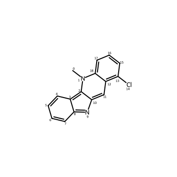 Cn1c2c3ccccc3nc-2cc2c(Cl)cccc21